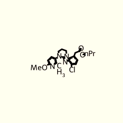 CCCOC(=O)Cc1ccc(Cl)c2nc3n(c12)CCCN3c1ccc(OC)nc1C